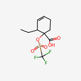 CCC1C=CCCC1(OS(=O)(=O)C(F)(F)F)C(=O)O